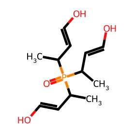 CC(C=CO)P(=O)(C(C)C=CO)C(C)C=CO